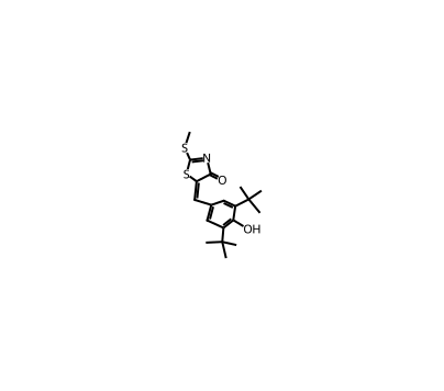 CSC1=NC(=O)/C(=C\c2cc(C(C)(C)C)c(O)c(C(C)(C)C)c2)S1